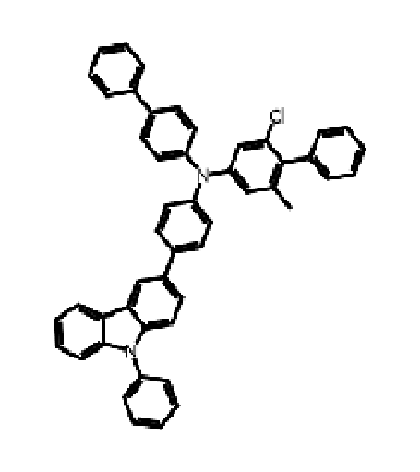 Cc1cc(N(c2ccc(-c3ccccc3)cc2)c2ccc(-c3ccc4c(c3)c3ccccc3n4-c3ccccc3)cc2)cc(Cl)c1-c1ccccc1